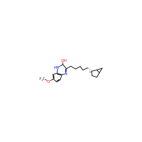 OC1Nc2cc(OC(F)(F)F)ccc2N=C1CCCCC[C@H]1CCC2CC21